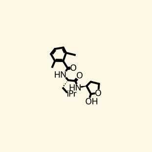 Cc1cccc(C)c1C(=O)N[C@@H](CC(C)C)C(=O)N[C@H]1CCOC1O